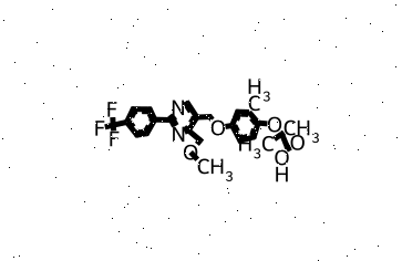 COCc1nc(-c2ccc(C(F)(F)F)cc2)ncc1COc1ccc(OC(C)(C)C(=O)O)c(C)c1